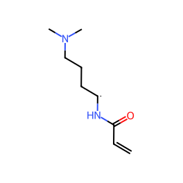 C=CC(=O)N[CH]CCCN(C)C